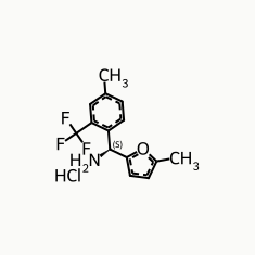 Cc1ccc([C@H](N)c2ccc(C)o2)c(C(F)(F)F)c1.Cl